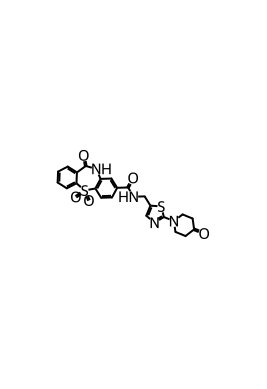 O=C1CCN(c2ncc(CNC(=O)c3ccc4c(c3)NC(=O)c3ccccc3S4(=O)=O)s2)CC1